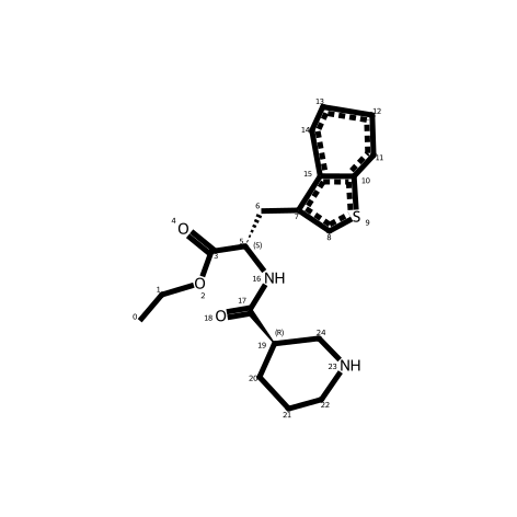 CCOC(=O)[C@H](Cc1csc2ccccc12)NC(=O)[C@@H]1CCCNC1